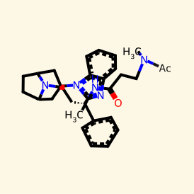 CC(=O)N(C)CCC(=O)N[C@@H](CCN1C2CCC1CC(n1c(C)nc3ccccc31)C2)c1ccccc1